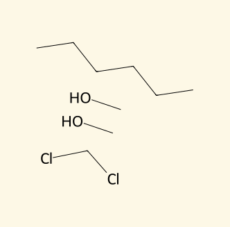 CCCCCC.CO.CO.ClCCl